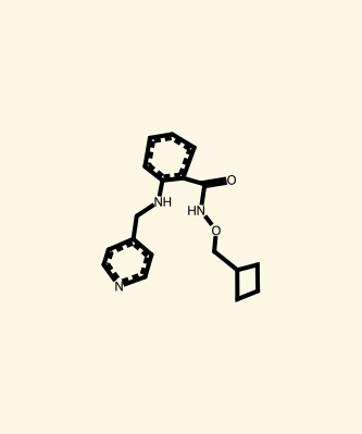 O=C(NOCC1CCC1)c1ccccc1NCc1ccncc1